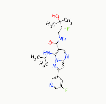 CC(C)Nc1c(C(=O)NC[C@@H](F)C(C)(C)O)cnc2cc(-c3cncc(F)c3)nn12